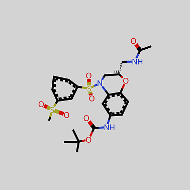 CC(=O)NC[C@H]1CN(S(=O)(=O)c2cccc(S(C)(=O)=O)c2)c2cc(NC(=O)OC(C)(C)C)ccc2O1